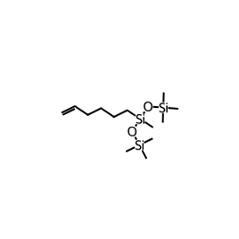 C=CCCCC[Si](C)(O[Si](C)(C)C)O[Si](C)(C)C